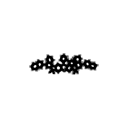 CC1(C)c2cc3c(cc2-c2c1cc(-c1ccc4ccccc4c1)c1ccccc21)N(c1ccccc1-c1ccccc1)c1cc2c(cc1O3)C(C)(C)c1cc(-c3ccc4ccccc4c3)c3ccccc3c1-2